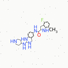 Cc1ccc(F)c2c1NC(C(=O)Nc1ccc3c(c1)CNC(NC1CCNCC1)N3)C2